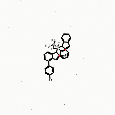 CCCC1=Cc2c(-c3ccc(CC)cc3)cccc2[CH]1[Zr]([Cl])([Cl])([c]1ccccc1)([CH]1C=Cc2ccccc21)[SiH](C)C